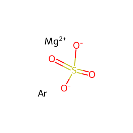 O=S(=O)([O-])[O-].[Ar].[Mg+2]